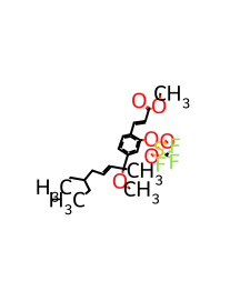 CCC(CC)C/C=C/C(C)(OC)c1ccc(/C=C/C(=O)OC)c(OS(=O)(=O)C(F)(F)F)c1